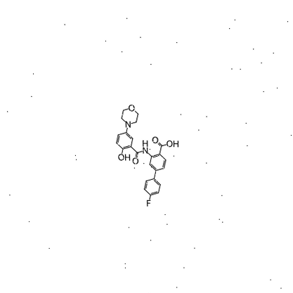 O=C(Nc1cc(-c2ccc(F)cc2)ccc1C(=O)O)c1cc(N2CCOCC2)ccc1O